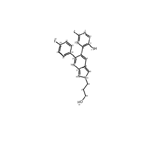 Cc1ncc(S)c(-c2cc3cn(CCCO)nc3nc2-c2ccc(F)cc2)n1